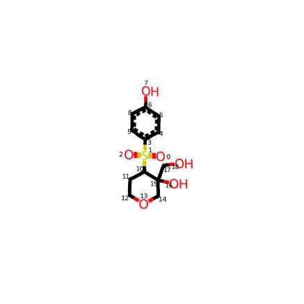 O=S(=O)(c1ccc(O)cc1)C1CCOCC1(O)CO